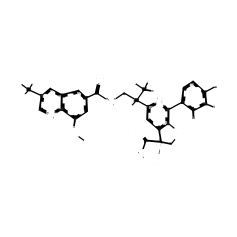 COc1cc(C(=O)NCC(O)(c2cc3c(c(-c4ccc(F)c(F)c4F)n2)OC[C@]3(C)C(N)=O)C(F)(F)F)cc2cc(C(F)(F)F)cnc12